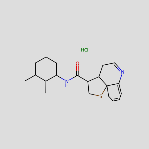 CC1CCCC(NC(=O)C2CSC34CC=CC=C3N=CCC24)C1C.Cl